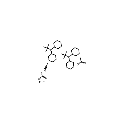 CC#N.CC(=O)[O-].CC(=O)[O-].CC(C)(C)P(C1CCCCC1)C1CCCCC1.CC(C)(C)P(C1CCCCC1)C1CCCCC1.[Pd+2]